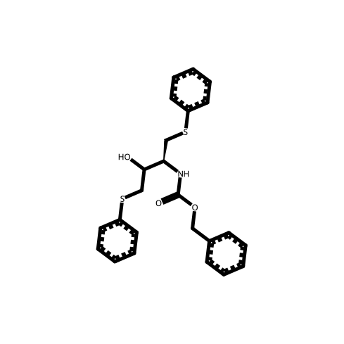 O=C(N[C@H](CSc1ccccc1)C(O)CSc1ccccc1)OCc1ccccc1